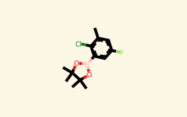 Cc1cc(F)cc(B2OC(C)(C)C(C)(C)O2)c1Cl